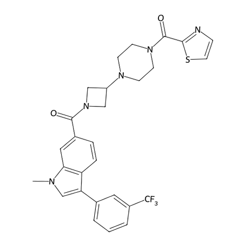 Cn1cc(-c2cccc(C(F)(F)F)c2)c2ccc(C(=O)N3CC(N4CCN(C(=O)c5nccs5)CC4)C3)cc21